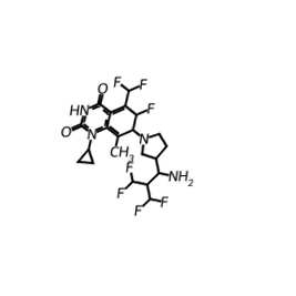 CC1=c2c(c(=O)[nH]c(=O)n2C2CC2)=C(C(F)F)C(F)C1N1CCC(C(N)C(C(F)F)C(F)F)C1